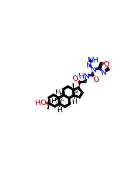 C[C@@]1(O)CC[C@H]2[C@H](CCC3[C@@H]2CC[C@]2(C)[C@@H](C(=O)CNC(=O)N(N=N)c4cocn4)CC[C@@H]32)C1